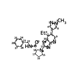 CCc1c(-c2cnn(C)c2)cnc2nc(N3CCC[C@@H]3C(=O)NCc3ccccc3)sc12